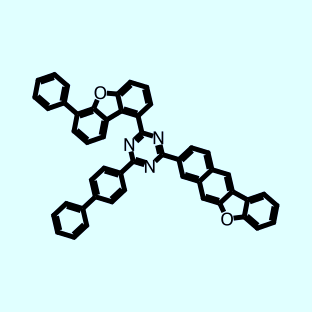 c1ccc(-c2ccc(-c3nc(-c4ccc5cc6c(cc5c4)oc4ccccc46)nc(-c4cccc5oc6c(-c7ccccc7)cccc6c45)n3)cc2)cc1